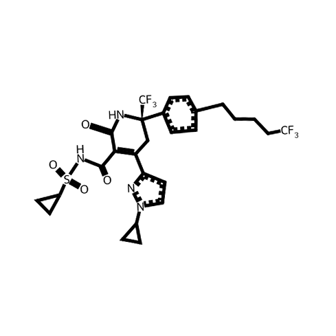 O=C1N[C@@](c2ccc(CCCCC(F)(F)F)cc2)(C(F)(F)F)CC(c2ccn(C3CC3)n2)=C1C(=O)NS(=O)(=O)C1CC1